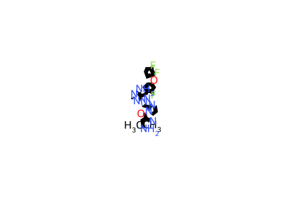 CC(C)(N)C=C(C#N)C(=O)N1CC=CN=C1Cn1nc(-c2ccc(Oc3cccc(F)c3F)cc2F)c2c(N)ncnc21